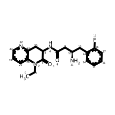 CCN1C(=O)C(NC(=O)C[C@H](N)Cc2ccccc2F)Cc2ncccc21